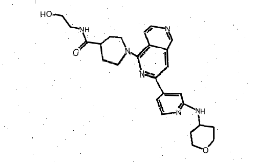 O=C(NCCO)C1CCN(c2nc(-c3ccnc(NC4CCOCC4)c3)cc3cnccc23)CC1